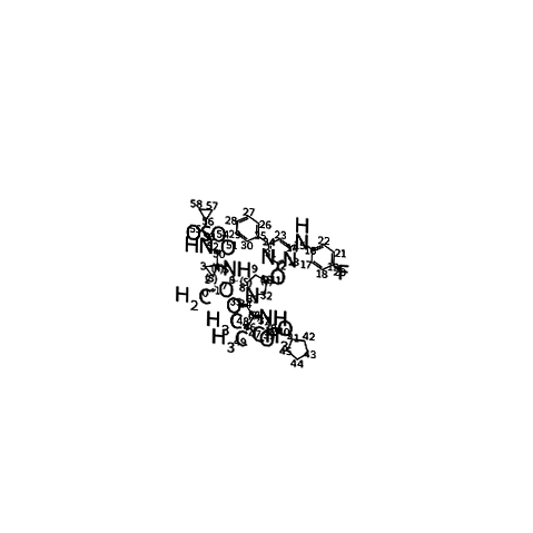 C=C[C@@H]1C[C@]1(NC(=O)[C@@H]1C[C@@H](Oc2nc(Nc3ccc(F)cc3)cc(-c3ccccc3)n2)CN1C(=O)[C@@H](NC(=O)OC1CCCC1)C(C)(C)C)C(=O)NS(=O)(=O)C1CC1